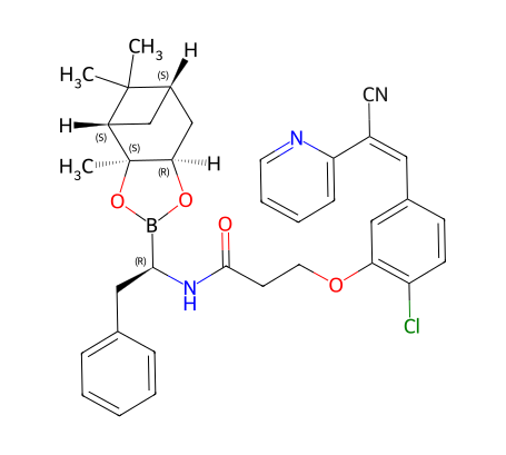 CC1(C)[C@@H]2C[C@H]3OB([C@H](Cc4ccccc4)NC(=O)CCOc4cc(C=C(C#N)c5ccccn5)ccc4Cl)O[C@@]3(C)[C@H]1C2